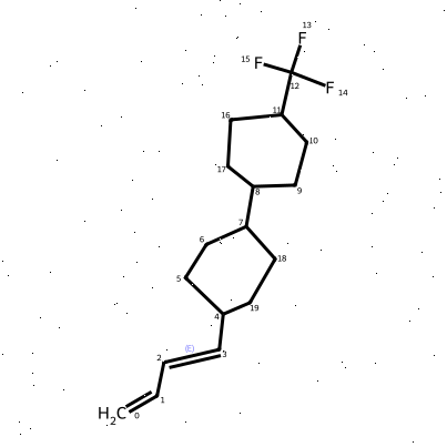 C=C/C=C/C1CCC(C2CCC(C(F)(F)F)CC2)CC1